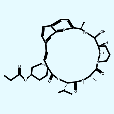 CCC(=O)O[C@H]1CC[C@@]2(/C=C/c3ccc4ccc(nc4c3)[C@@H](C)NC(O)[C@@H]3CCCN(N3)C(=O)[C@H](C)NC(=O)[C@H](C(C)C)OC2=O)CC1